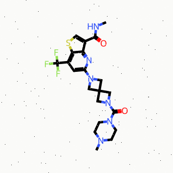 CNC(=O)c1csc2c(C(F)(F)F)cc(N3CC4(CN(C(=O)N5CCN(C)CC5)C4)C3)nc12